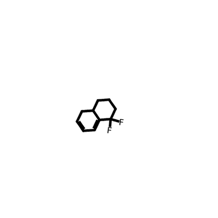 FC1(F)CCCC2CC=CC=C21